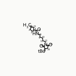 C[C@@H]1CCN(C(=O)NCCCCCN2C(=O)CC(C(C)(C)C)C2=O)C1